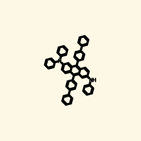 c1ccc(Nc2ccc3c(-c4ccc(-c5ccccc5)cc4)c4cc(N(c5ccccc5)c5ccccc5)ccc4c(-c4ccc(-c5ccccc5)cc4)c3c2)cc1